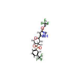 CC1(S(=O)(=O)c2cccc(C(F)(F)F)c2)CCOC(c2cc(OCC(F)(F)F)n[nH]2)C1